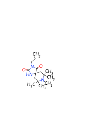 C=CCN1C(=O)NC2(CC(C)(C)N(C)C(C)(C)C2)C1=O